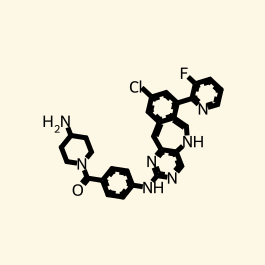 NC1CCN(C(=O)c2ccc(Nc3ncc4c(n3)C=c3cc(Cl)cc(-c5ncccc5F)c3=CN4)cc2)CC1